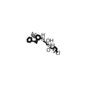 CC(=O)N(c1ccc(NCC(O)CNC(=O)c2ccc(Cl)s2)cc1)c1ccccc1C1CC1